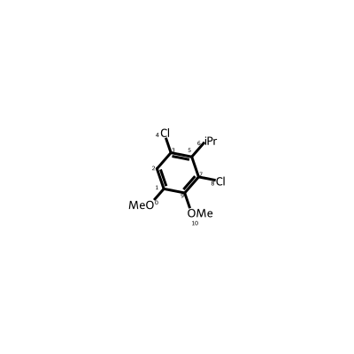 COc1cc(Cl)c(C(C)C)c(Cl)c1OC